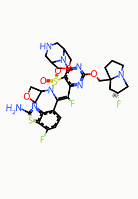 Nc1nc2c(C3=C(F)c4nc(OCC56CCCN5C[C@H](F)C6)nc(N5C6CNCC5COC6)c4S(=O)(=O)N3C3COC3)ccc(F)c2s1